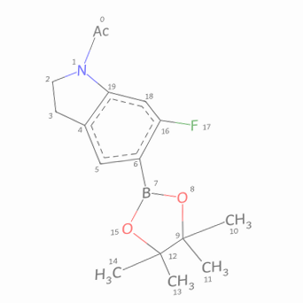 CC(=O)N1CCc2cc(B3OC(C)(C)C(C)(C)O3)c(F)cc21